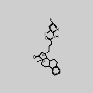 C[C@]12CCC3c4ccccc4CCC3C1[C@H](CCCC(=O)Nc1ncc(F)cc1F)CC2=O